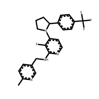 Cc1ccc(CNc2nccc(N3CCCC3c3ccc(C(F)(F)F)cc3)c2F)cn1